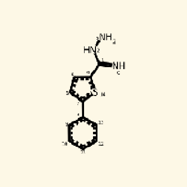 N=C(NN)c1ccc(-c2ccccc2)s1